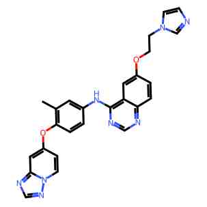 Cc1cc(Nc2ncnc3ccc(OCCn4ccnc4)cc23)ccc1Oc1ccn2ncnc2c1